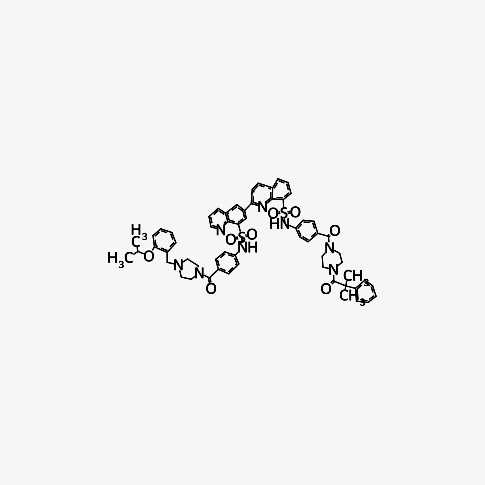 CC(C)Oc1ccccc1CN1CCN(C(=O)c2ccc(NS(=O)(=O)c3cc(-c4ccc5cccc(S(=O)(=O)Nc6ccc(C(=O)N7CCN(C(=O)C(C)(C)c8ccccc8)CC7)cc6)c5n4)cc4cccnc34)cc2)CC1